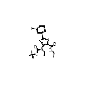 CCOC(=O)c1nc(-c2cccc(I)c2)sc1N(CC)C(=O)OC(C)(C)C